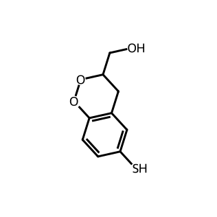 OCC1Cc2cc(S)ccc2OO1